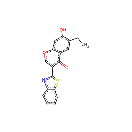 CCc1cc2c(=O)c(-c3nc4ccccc4s3)coc2cc1O